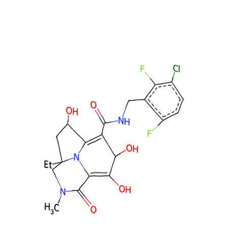 CCC12CC(O)C3=C(C(=O)NCc4c(F)ccc(Cl)c4F)C(O)C(O)=C(C(=O)N(C)C1)N32